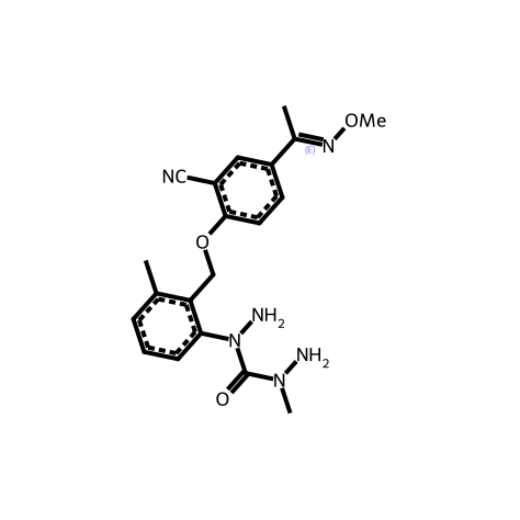 CO/N=C(\C)c1ccc(OCc2c(C)cccc2N(N)C(=O)N(C)N)c(C#N)c1